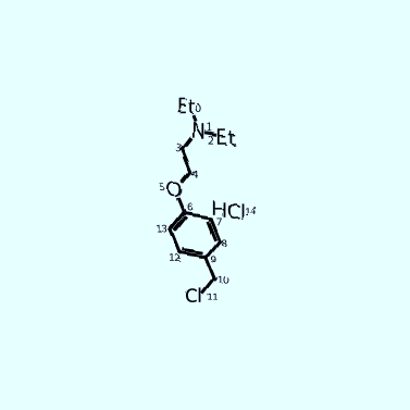 CCN(CC)CCOc1ccc(CCl)cc1.Cl